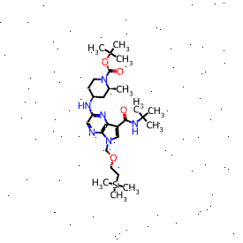 C[C@H]1C[C@@H](Nc2cnc3c(n2)c(C(=O)NC(C)(C)C)cn3COCC[Si](C)(C)C)CCN1C(=O)OC(C)(C)C